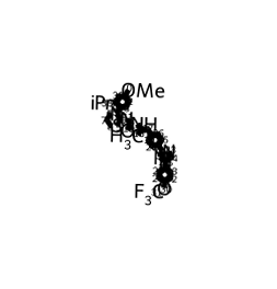 COc1ccc(N2CCCS/C2=N\C(=O)N/C(C)=C/c2ccc(-c3ncn(-c4ccc(OC(F)(F)F)cc4)n3)cc2)c(C(C)C)c1